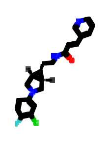 O=C(/C=C/c1cccnc1)NCC[C@@H]1[C@H]2CN(c3ccc(F)c(Cl)c3)C[C@@H]12